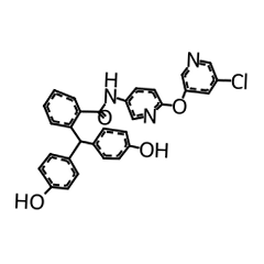 O=C(Nc1ccc(Oc2cncc(Cl)c2)nc1)c1ccccc1C(c1ccc(O)cc1)c1ccc(O)cc1